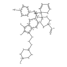 Cc1c(C)n(CCCN2CCN(C)CC2)c2ccc(NC3([N+]4(CCc5ccc(F)cc5)CCN(C=O)CC4)C=CC=CC3)cc12